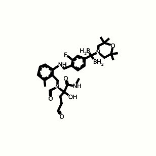 BC(B)(c1ccc(CNc2cccc(C)c2CN(C=O)C(O)(CCC=O)C(=O)NC)c(F)c1)N1CC(C)(C)OC(C)(C)C1